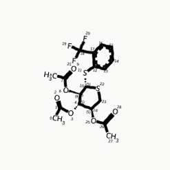 CC(=O)O[C@@H]1[C@@H](OC(C)=O)[C@H](Sc2ccccc2C(F)(F)F)SC[C@H]1OC(C)=O